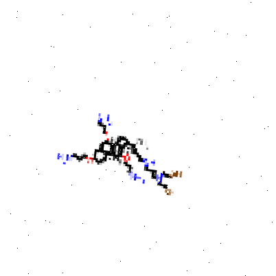 C[C@H](CCCNCCCN(CCS)CCS)[C@H]1CC[C@H]2C3[C@H](OCCCN)CC4C[C@H](OCCCN)CCC4(C)[C@H]3C[C@H](OCCCN)[C@]12C